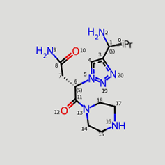 CC(C)[C@H](N)c1cn([C@@H](CC(N)=O)C(=O)N2CCNCC2)nn1